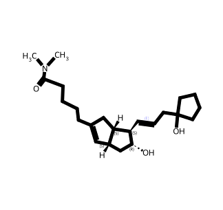 CN(C)C(=O)CCCCC1=C[C@H]2C[C@@H](O)[C@H](/C=C/CC3(O)CCCC3)[C@H]2C1